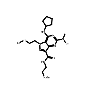 CCOCCn1nc(C(=O)NCCNC)c2nc(N(C)CC)nc(NC3CCCC3)c21